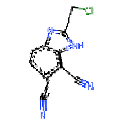 N#Cc1ccc2nc(CCl)[nH]c2c1C#N